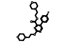 O=C(OCCN1CCOCC1)c1nc(OCCN2CCOCC2)ncc1-c1ccc(F)cc1